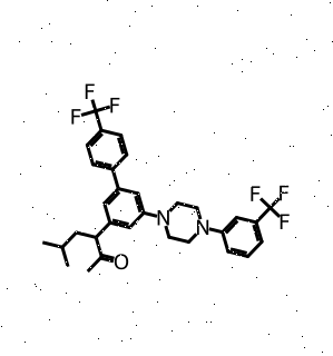 CC(=O)C(CC(C)C)c1cc(-c2ccc(C(F)(F)F)cc2)cc(N2CCN(c3cccc(C(F)(F)F)c3)CC2)c1